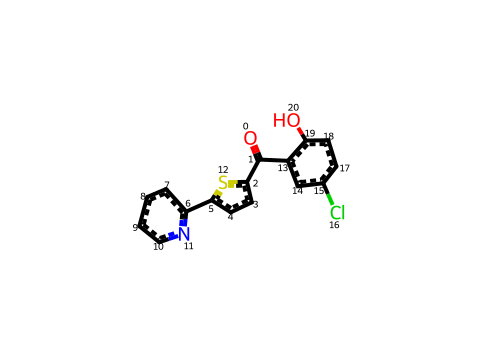 O=C(c1ccc(-c2ccccn2)s1)c1cc(Cl)ccc1O